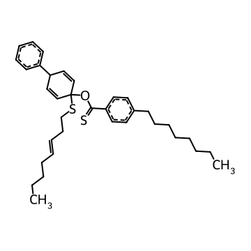 CCCC/C=C/CCSC1(OC(=S)c2ccc(CCCCCCCC)cc2)C=CC(c2ccccc2)C=C1